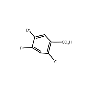 CCc1cc(C(=O)O)c(Cl)cc1F